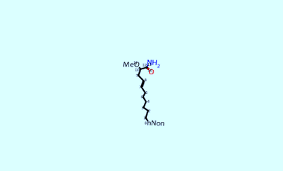 CCCCCCCCCCCCCCCC=CCC(OC)C(N)=O